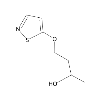 CC(O)CCOc1ccns1